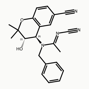 CC(=NC#N)N(Cc1ccccc1)[C@@H]1c2cc(C#N)ccc2OC(C)(C)[C@H]1O